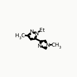 CCn1nc(C)cc1-c1cn(C)cn1